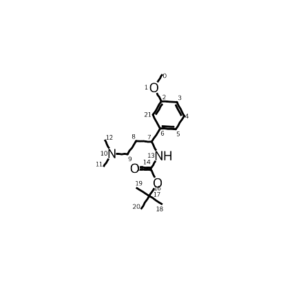 COc1cccc(C(CCN(C)C)NC(=O)OC(C)(C)C)c1